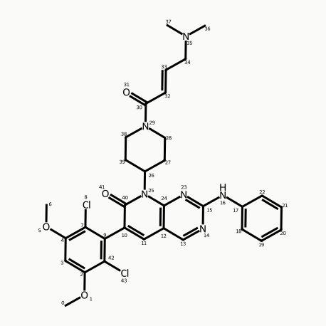 COc1cc(OC)c(Cl)c(-c2cc3cnc(Nc4ccccc4)nc3n(C3CCN(C(=O)/C=C/CN(C)C)CC3)c2=O)c1Cl